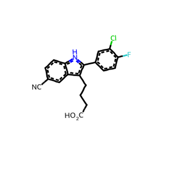 N#Cc1ccc2[nH]c(-c3ccc(F)c(Cl)c3)c(CCCC(=O)O)c2c1